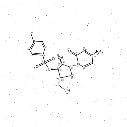 Cc1ccc(S(=O)(=O)O[C@H]2[C@@H](O)[C@H](n3ccc(N)nc3=O)O[C@@H]2CO)cc1